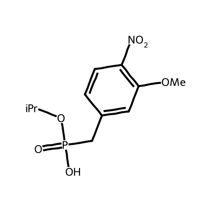 COc1cc(CP(=O)(O)OC(C)C)ccc1[N+](=O)[O-]